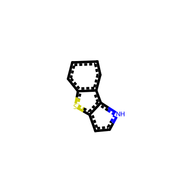 c1ccc2c(c1)sc1cc[nH]c12